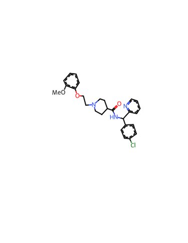 COc1ccccc1OCCN1CCC(C(=O)NC(c2ccc(Cl)cc2)c2ccccn2)CC1